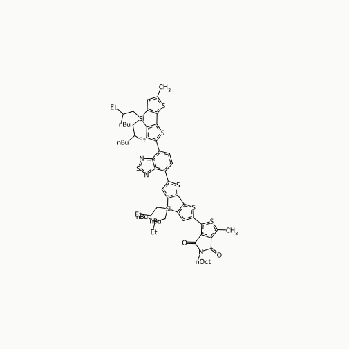 CCCCCCCCN1C(=O)c2c(C)sc(-c3cc4c(s3)-c3sc(-c5ccc(-c6cc7c(s6)-c6sc(C)cc6[Si]7(CC(CC)CCCC)CC(CC)CCCC)c6nsnc56)cc3[Si]4(CC(CC)CCCC)CC(CC)CCCC)c2C1=O